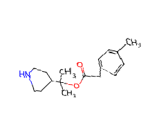 Cc1ccc(CC(=O)OC(C)(C)C2CCNCC2)cc1